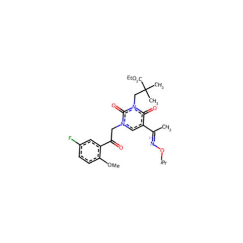 CCOC(=O)C(C)(C)Cn1c(=O)c(/C(C)=N/OC(C)C)cn(CC(=O)c2cc(F)ccc2OC)c1=O